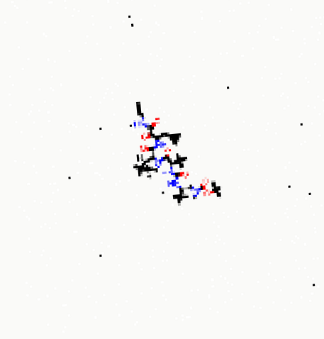 C=CCNC(=O)C(=O)C(CC1CC1)NC(=O)[C@@H]1[C@@H]2[C@H](CN1C(=O)[C@@H](NC(=O)N[C@H](CN(C)C(=O)OC(C)(C)C)C(C)(C)C)C(C)(C)C)C2(C)C